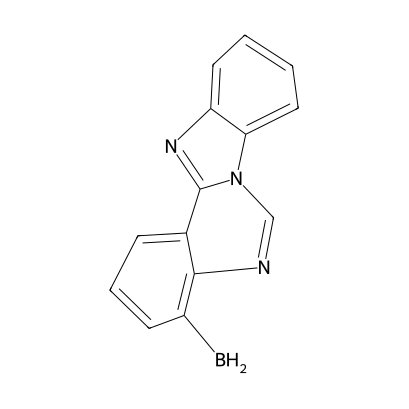 Bc1cccc2c1ncn1c3ccccc3nc21